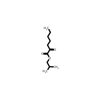 CCCCCC(=O)C(=O)OCC(C)C